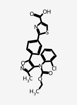 CCOC(=O)N(c1ccccc1Cl)c1c(C)noc1-c1ccc(-c2nc(C(=O)O)cs2)cc1